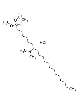 CCCCCCCCCCCCCC(CCCCCC[Si](OC)(OC)OC)N(C)C.Cl